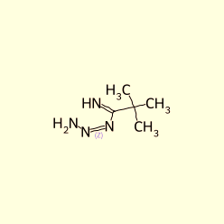 CC(C)(C)C(=N)/N=N\N